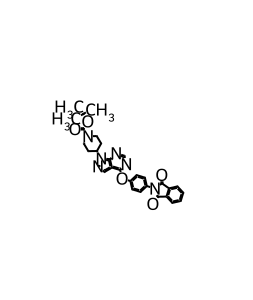 CC(C)(C)OC(=O)N1CCC(n2ncc3c(Oc4ccc(N5C(=O)c6ccccc6C5=O)cc4)ncnc32)CC1